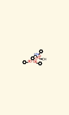 C#CCOC(=O)C(Cc1ccc(OOCc2ccccc2)c(OOCc2ccccc2)c1)NC(=O)c1ccccc1